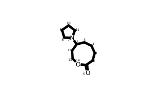 O=C1CCCCC(N2CCCC2)CCO1